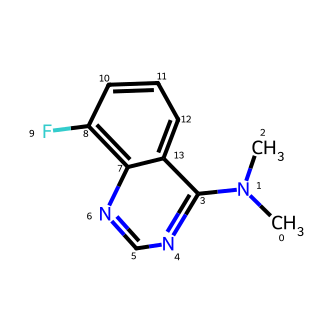 CN(C)c1ncnc2c(F)cccc12